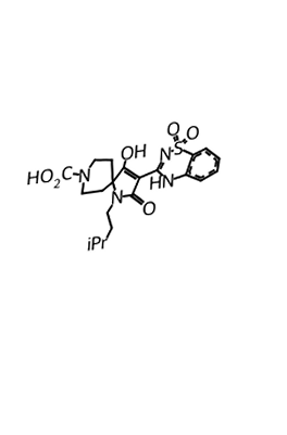 CC(C)CCN1C(=O)C(C2=NS(=O)(=O)c3ccccc3N2)=C(O)C12CCN(C(=O)O)CC2